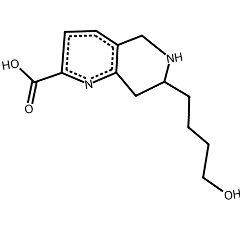 O=C(O)c1ccc2c(n1)CC(CCCCO)NC2